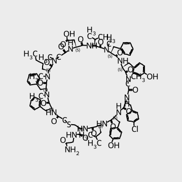 CCCC[C@H]1C(=O)N(C)CC(=O)N[C@@H](CC(=O)O)C(=O)N[C@@H](C(C)C)C(=O)N(C)[C@@H](Cc2ccccc2)C(=O)N[C@@H](Cc2ccc(O)cc2)C(=O)N(C)CC(=O)N[C@@H](Cc2ccc(Cl)cc2)C(=O)N[C@@H](Cc2ccc(O)cc2)C(=O)N[C@@H](CC(C)C)C(=O)N[C@H](C(=O)NCC(N)=O)CSCC(=O)N[C@@H](Cc2ccccc2)C(=O)N(C)[C@@H](Cc2ccccc2)C(=O)N1C